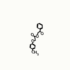 Cc1ccc(OCC(=O)OCC(=O)c2ccccc2)cc1